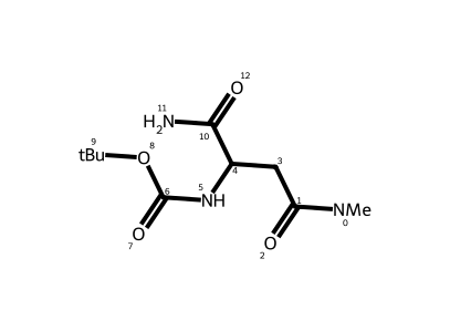 CNC(=O)CC(NC(=O)OC(C)(C)C)C(N)=O